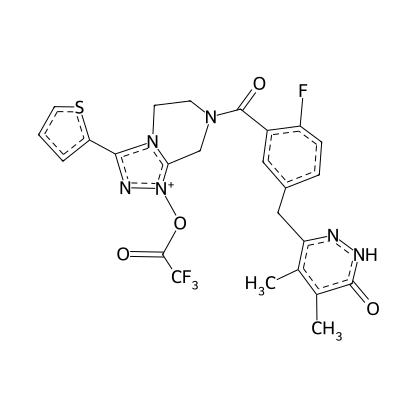 Cc1c(Cc2ccc(F)c(C(=O)N3CCn4c(-c5cccs5)n[n+](OC(=O)C(F)(F)F)c4C3)c2)n[nH]c(=O)c1C